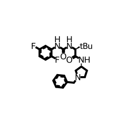 CC(C)(C)[C@H](NC(=O)Nc1cc(F)ccc1F)C(=O)N[C@@H]1CCN(Cc2ccccc2)C1